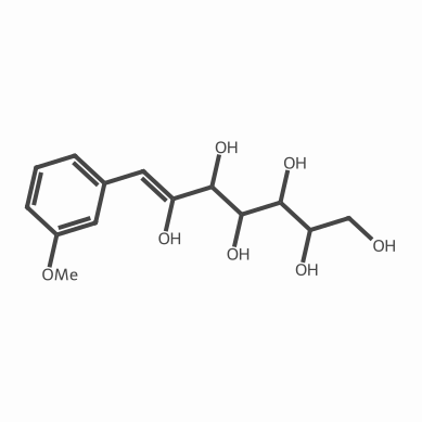 COc1cccc(C=C(O)C(O)C(O)C(O)C(O)CO)c1